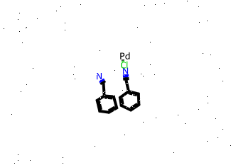 N#Cc1ccccc1.N#Cc1ccccc1.[Cl][Pd]